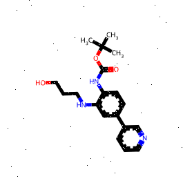 CC(C)(C)OC(=O)Nc1ccc(-c2cccnc2)cc1NCCCO